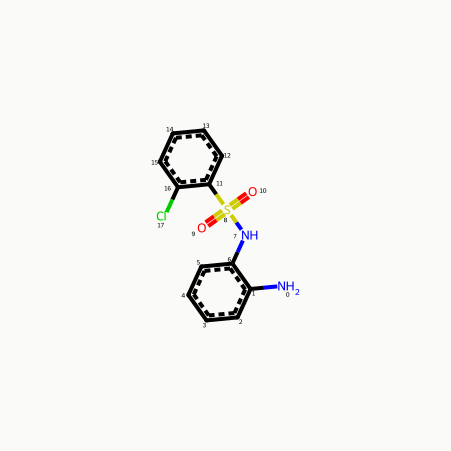 Nc1ccccc1NS(=O)(=O)c1ccccc1Cl